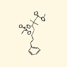 COC(=O)C(C)(C)C(CCCCc1ccccc1)OS(C)(=O)=O